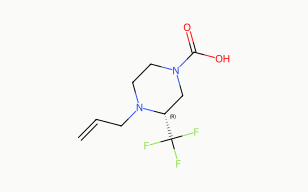 C=CCN1CCN(C(=O)O)C[C@@H]1C(F)(F)F